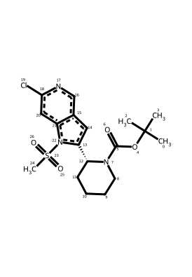 CC(C)(C)OC(=O)N1CCCC[C@@H]1c1cc2cnc(Cl)cc2n1S(C)(=O)=O